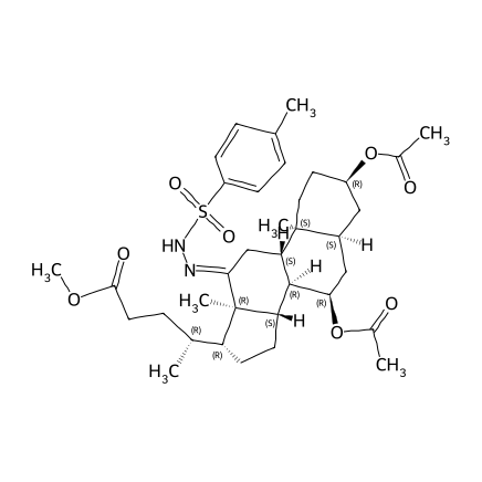 COC(=O)CC[C@@H](C)[C@H]1CC[C@H]2[C@@H]3[C@H](OC(C)=O)C[C@@H]4C[C@H](OC(C)=O)CC[C@]4(C)[C@H]3CC(=NNS(=O)(=O)c3ccc(C)cc3)[C@]12C